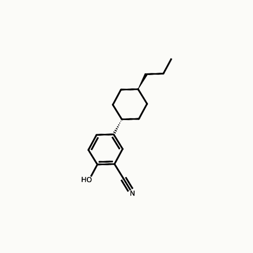 CCC[C@H]1CC[C@H](c2ccc(O)c(C#N)c2)CC1